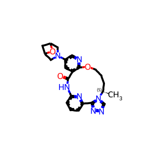 C[C@H]1CCCOc2ncc(N3CC4CC(C3)O4)cc2C(=O)Nc2cccc(n2)-c2nncn21